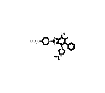 CCOC(=O)C1CCN(c2nc3c(C#N)c(C)c(-c4ccccc4)c(N4CC[C@H](N(C)C)C4)c3o2)CC1